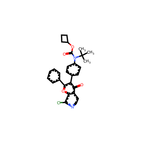 CC(C)(C)N(C(=O)OC1CCC1)c1ccc(-c2c(-c3ccccc3)oc3c(Cl)nccc3c2=O)cc1